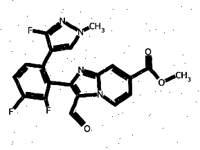 COC(=O)c1ccn2c(C=O)c(-c3c(-c4cn(C)nc4F)ccc(F)c3F)nc2c1